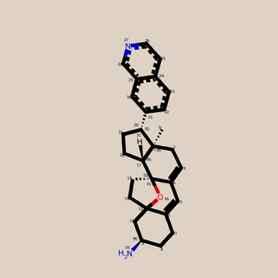 C[C@]12CC=C3C=C4CC[C@@H](N)CC45CC[C@]3(O5)[C@@H]1CC[C@@H]2c1ccc2ccncc2c1